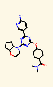 CN(C)C(=O)C1CCC(Oc2nc(-c3ccc(N)nc3)nc(N3CCOC4CCCC43)n2)CC1